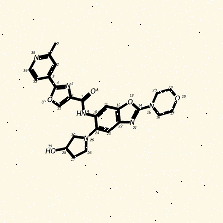 Cc1cc(-c2nc(C(=O)Nc3cc4oc(N5CCOCC5)nc4cc3N3CCC(O)C3)co2)ccn1